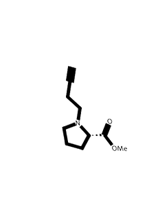 C#CCCN1CCC[C@H]1C(=O)OC